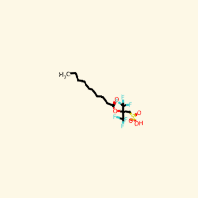 CCCCCCCCCC(=O)OC(CS(=O)(=O)O)(C(F)(F)F)C(F)(F)F